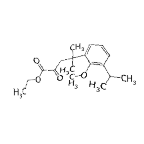 CCOC(=O)C(=O)CC(C)(C)c1cccc(C(C)C)c1OC